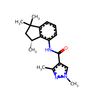 Cc1nn(C)cc1C(=O)Nc1cccc2c1[C@H](C)CC2(C)C